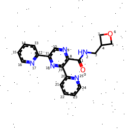 O=C(NCC1COC1)c1ncc(-c2ccccn2)nc1-c1ccccn1